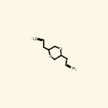 C=CCC1COC(CC=C)CO1